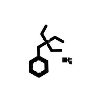 CC[N+](CC)(CC)Cc1ccccc1.[BH4-]